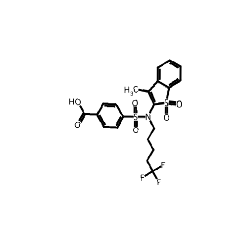 CC1=C(N(CCCCC(F)(F)F)S(=O)(=O)c2ccc(C(=O)O)cc2)S(=O)(=O)c2ccccc21